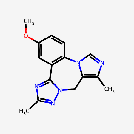 COc1ccc2c(c1)-c1nc(C)nn1Cc1c(C)ncn1-2